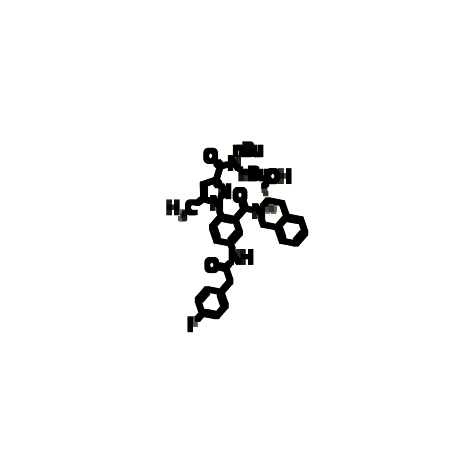 CCCCN(CCCC)C(=O)c1cc(C)n(-c2ccc(NC(=O)Cc3ccc(F)cc3)cc2C(=O)N2Cc3ccccc3C[C@H]2CO)n1